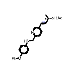 CCOc1ccc(NCc2ccc(/C=C/[C@H](C)NC(C)=O)cn2)cc1